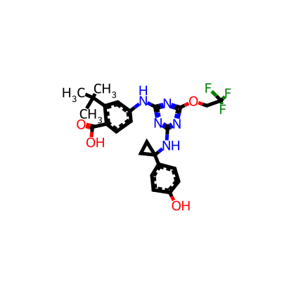 CC(C)(C)c1cc(Nc2nc(NC3(c4ccc(O)cc4)CC3)nc(OCC(F)(F)F)n2)ccc1C(=O)O